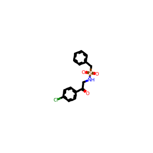 O=C(CNS(=O)(=O)Cc1ccccc1)c1ccc(Cl)cc1